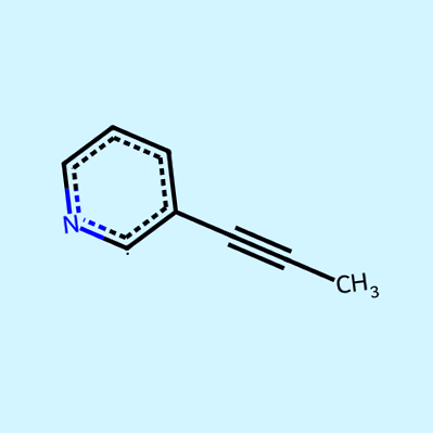 CC#Cc1[c]nccc1